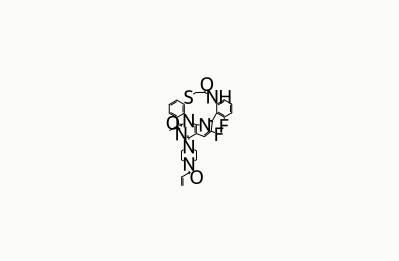 C=CC(=O)N1CCN(c2nc(=O)n3c4nc(c(F)cc24)-c2c(F)cccc2NC(=O)CSc2cccc(C(C)C)c2-3)CC1